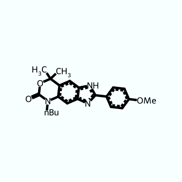 CCCCN1C(=O)OC(C)(C)c2cc3[nH]c(-c4ccc(OC)cc4)nc3cc21